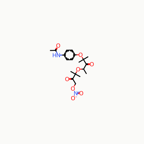 CC(=O)Nc1ccc(OC(C)(C)C(=O)C(C)OC(C)(C)C(=O)CO[N+](=O)[O-])cc1